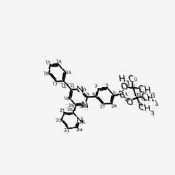 CC1(C)OB(c2ccc(-c3nc(-c4ccccc4)cc(-c4ccccn4)n3)cc2)OC1(C)C